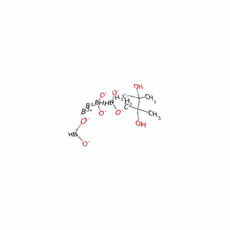 CC(C)(O)C(C)(C)O.[B+3].[B+3].[O-]B[O-].[O-]B[O-].[O-]B[O-]